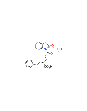 O=C(O)O[C@H]1Cc2ccccc2N1C(=O)CCC(CCc1ccccc1)C(=O)O